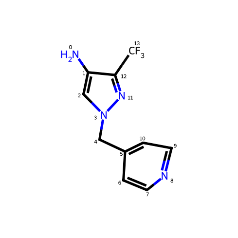 Nc1cn(Cc2ccncc2)nc1C(F)(F)F